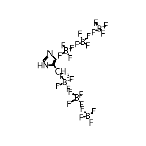 Cc1cnc[nH]1.F[B-](F)(F)F.F[B-](F)(F)F.F[B-](F)(F)F.F[B-](F)(F)F.F[B-](F)(F)F.F[B-](F)(F)F